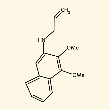 C=CCNc1cc2ccccc2c(OC)c1OC